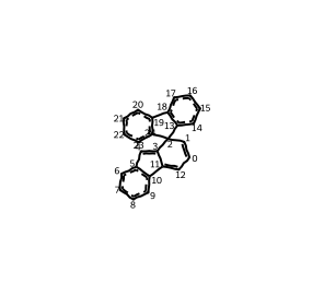 C1=CC2(C3=Cc4ccccc4C3=C1)c1ccccc1-c1ccccc12